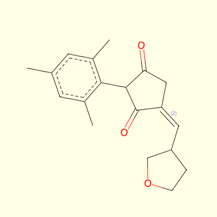 Cc1cc(C)c(C2C(=O)C/C(=C/C3CCOC3)C2=O)c(C)c1